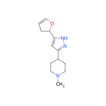 CN1CCC(c2cc(C3CC=CO3)[nH]n2)CC1